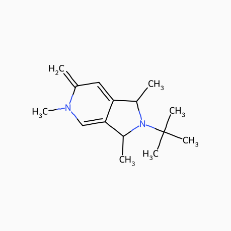 C=C1C=C2C(=CN1C)C(C)N(C(C)(C)C)C2C